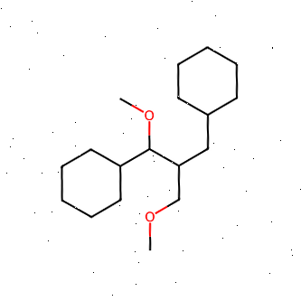 COCC(CC1CCCCC1)C(OC)C1CCCCC1